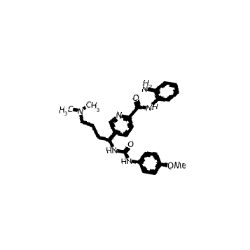 COc1ccc(NC(=O)NC(CCCN(C)C)c2ccc(C(=O)Nc3ccccc3N)nc2)cc1